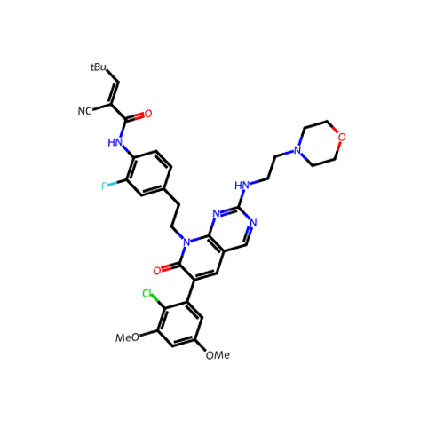 COc1cc(OC)c(Cl)c(-c2cc3cnc(NCCN4CCOCC4)nc3n(CCc3ccc(NC(=O)/C(C#N)=C/C(C)(C)C)c(F)c3)c2=O)c1